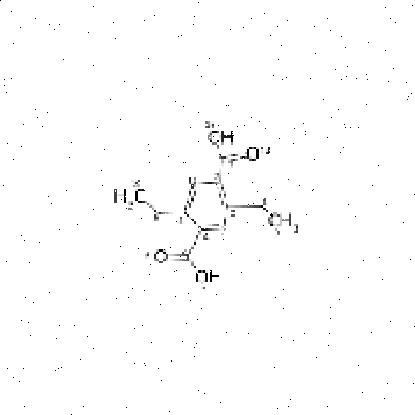 CCc1cc(C(=O)O)c(CC)cc1C(=O)O